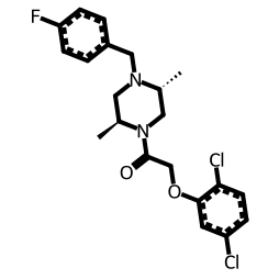 C[C@@H]1CN(C(=O)COc2cc(Cl)ccc2Cl)[C@@H](C)CN1Cc1ccc(F)cc1